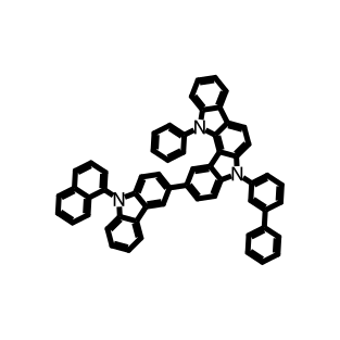 c1ccc(-c2cccc(-n3c4ccc(-c5ccc6c(c5)c5ccccc5n6-c5cccc6ccccc56)cc4c4c3ccc3c5ccccc5n(-c5ccccc5)c34)c2)cc1